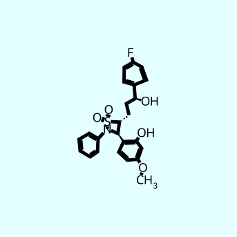 COc1ccc([C@@H]2[C@@H](CC[C@H](O)c3ccc(F)cc3)S(=O)(=O)N2c2ccccc2)c(O)c1